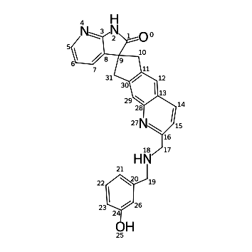 O=C1Nc2ncccc2C12Cc1cc3ccc(CNCc4cccc(O)c4)nc3cc1C2